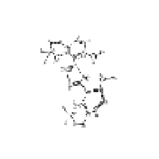 COc1ccc2c(c1-c1ccc(-c3c(OC)ccc4c3OC(C)(C)CC4)[se]1)OC(C)(C)CC2